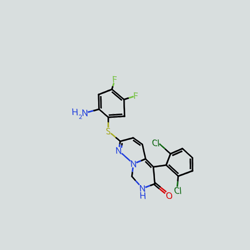 Nc1cc(F)c(F)cc1SC1=NN2CNC(=O)C(c3c(Cl)cccc3Cl)=C2C=C1